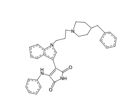 O=C1NC(=O)C(c2cn(CCCN3CCC(Cc4ccccc4)CC3)c3ccccc23)=C1Nc1ccccc1